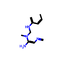 C=N/C=C(/N)N(C)CNC(=C)/C=C\C